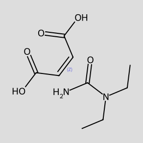 CCN(CC)C(N)=O.O=C(O)/C=C\C(=O)O